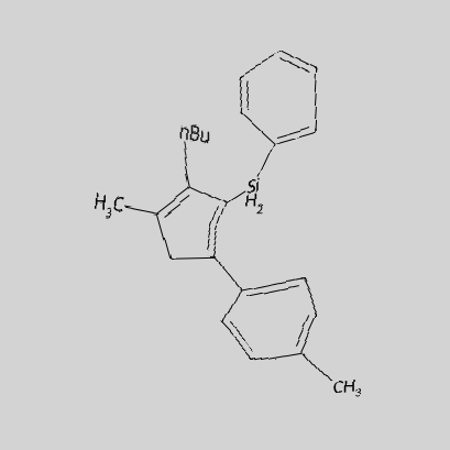 CCCCC1=C(C)CC(c2ccc(C)cc2)=C1[SiH2]c1ccccc1